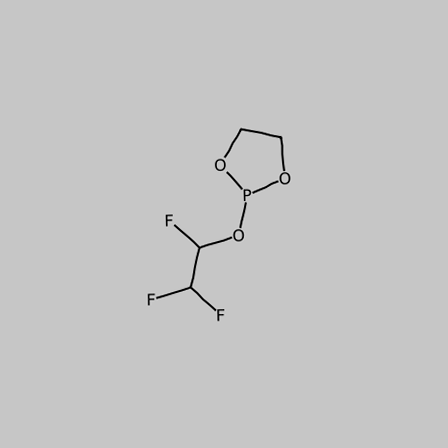 FC(F)C(F)OP1OCCO1